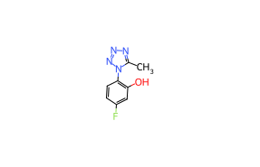 Cc1nnnn1-c1ccc(F)cc1O